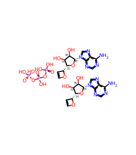 Nc1ncnc2c1ncn2[C@@H]1O[C@H](C2C=CO2)[C@@H](O)[C@H]1O.Nc1ncnc2c1ncn2[C@@H]1O[C@H](C2C=CO2)[C@@H](O)[C@H]1O.O=P(O)(O)OP(=O)(O)OP(=O)(O)O